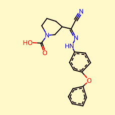 N#C/C(=N/Nc1ccc(Oc2ccccc2)cc1)C1CCCN(C(=O)O)C1